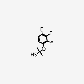 CC(C)(S)Oc1ccc(F)c(F)c1F